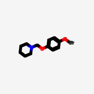 CC(C)Oc1ccc(OCN2CCCCC2)cc1